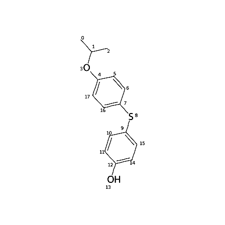 CC(C)Oc1ccc(Sc2ccc(O)cc2)cc1